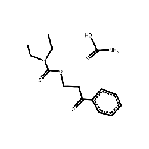 CCN(CC)C(=S)OCCC(=O)c1ccccc1.NC(O)=S